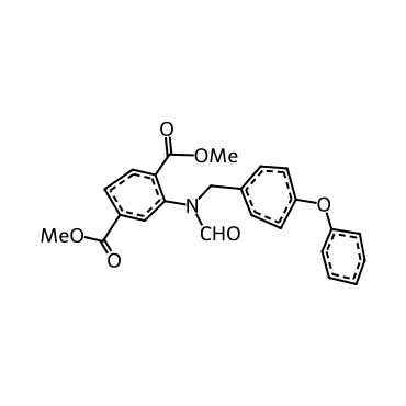 COC(=O)c1ccc(C(=O)OC)c(N(C=O)Cc2ccc(Oc3ccccc3)cc2)c1